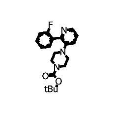 CC(C)(C)OC(=O)N1CCN(c2cccnc2-c2ccccc2F)CC1